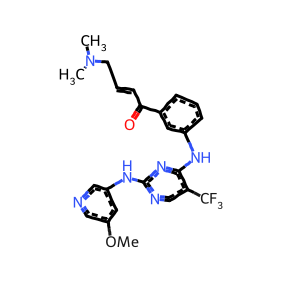 COc1cncc(Nc2ncc(C(F)(F)F)c(Nc3cccc(C(=O)/C=C/CN(C)C)c3)n2)c1